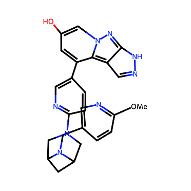 COc1ccc(CN2C3CC2CN(c2ccc(-c4cc(O)cn5nc6[nH]ncc6c45)cn2)C3)cn1